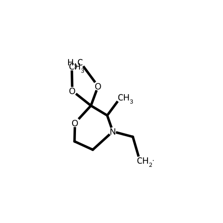 [CH2]CN1CCOC(OC)(OC)C1C